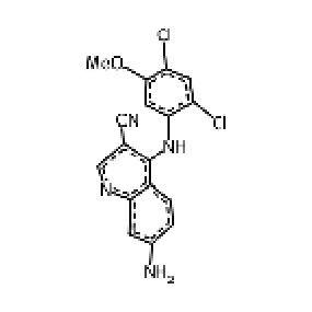 COc1cc(Nc2c(C#N)cnc3cc(N)ccc23)c(Cl)cc1Cl